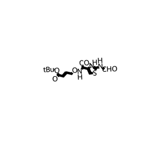 CC(C)(C)OC(=O)C=CCONC(C(=O)O)c1csc(NC=O)n1